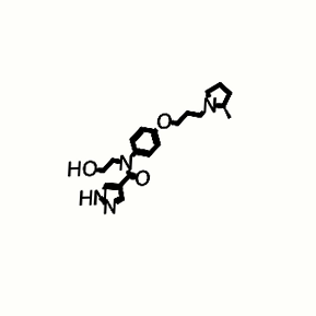 C[C@@H]1CCCN1CCCOc1ccc(N(CCO)C(=O)c2cn[nH]c2)cc1